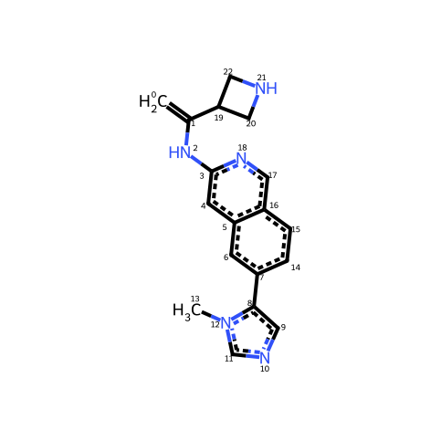 C=C(Nc1cc2cc(-c3cncn3C)ccc2cn1)C1CNC1